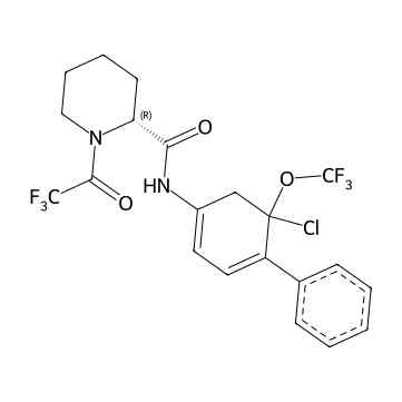 O=C(NC1=CC=C(c2ccccc2)C(Cl)(OC(F)(F)F)C1)[C@H]1CCCCN1C(=O)C(F)(F)F